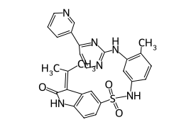 CC(C)=C1C(=O)Nc2ccc(S(=O)(=O)Nc3ccc(C)c(Nc4nccc(-c5cccnc5)n4)c3)cc21